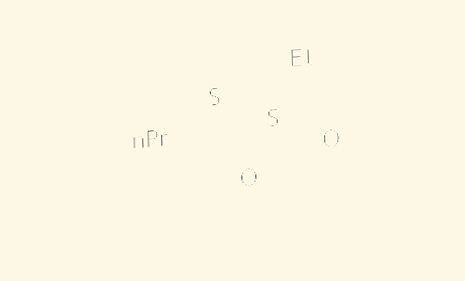 CCCSS(=O)(=O)CC